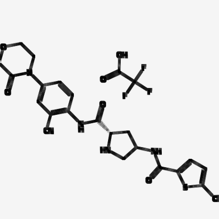 N#Cc1cc(N2CCOCC2=O)ccc1NC(=O)[C@@H]1CC(NC(=O)c2ccc(Cl)s2)CN1.O=C(O)C(F)(F)F